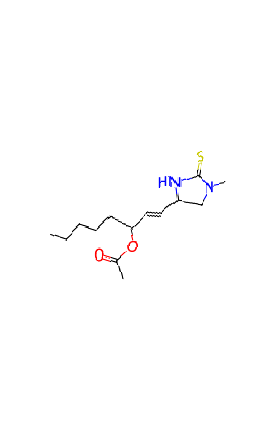 CCCCCC(C=CC1CN(C)C(=S)N1)OC(C)=O